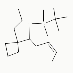 CCCC1(C(C/C=C\I)O[Si](C)(C)C(C)(C)C)CCC1